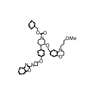 COCCCN1CCOc2ccc(COC3CN(C(=O)OCc4ccccc4)CCC3c3ccc(OC4CN(c5nc6ccccc6o5)C4)cc3)cc21